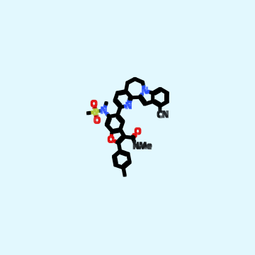 CNC(=O)c1c(-c2ccc(C)cc2)oc2cc(N(C)S(C)(=O)=O)c(-c3ccc4c(n3)-c3cc5c(C#N)cccc5n3CCC4)cc12